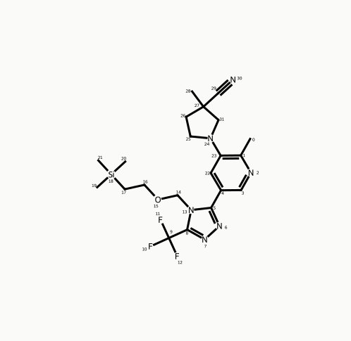 Cc1ncc(-c2nnc(C(F)(F)F)n2COCC[Si](C)(C)C)cc1N1CCC(C)(C#N)C1